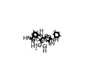 CC(C)C(NC(=O)C(Nc1cccc(C(=N)N)c1)C(O)CO)C(=O)NC1CCCCC1.Cl